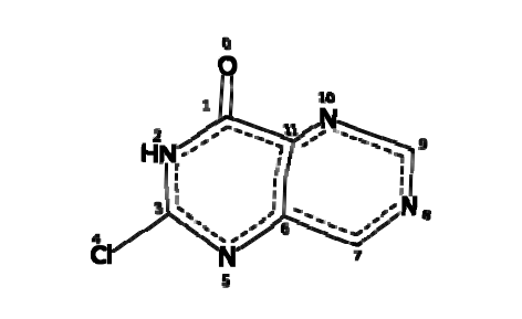 O=c1[nH]c(Cl)nc2cncnc12